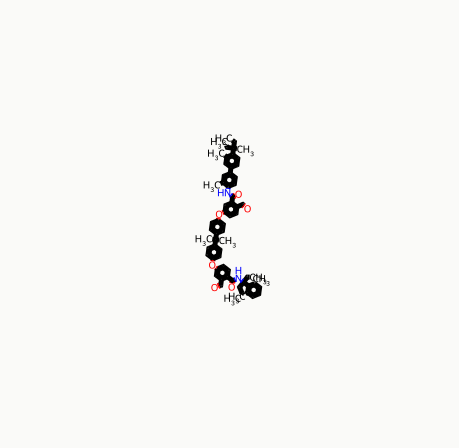 CCCC(CC)(NC(=O)c1ccc(Oc2ccc(C(C)(C)c3ccc(Oc4ccc(C=O)c(C(=O)Nc5ccc(-c6ccc(C(C)(CC)CC)c(C)c6)cc5C)c4)cc3)cc2)cc1C=O)c1c(C)cccc1C